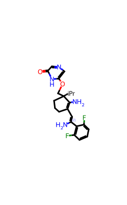 CC(C)C1(COc2cncc(=O)[nH]2)CCCC(/C=C(\N)c2c(F)cccc2F)=C1N